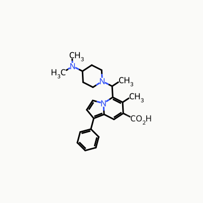 Cc1c(C(=O)O)cc2c(-c3ccccc3)ccn2c1C(C)N1CCC(N(C)C)CC1